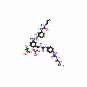 CCCNC(=O)Nc1cccc(S(=O)(=O)Nc2cccc([C@@H](CC(=O)O)NC(=O)Nc3ccc(NC(=O)NCCN)cc3)c2)c1.O=C(O)C(F)(F)F